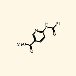 CCC(=O)Nc1ccc(C(=O)OC)cn1